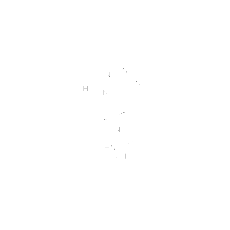 CNC(=O)N1C[C@H]2C[C@@H](N(C)c3ncnc4[nH]ccc34)C[C@H]2C1